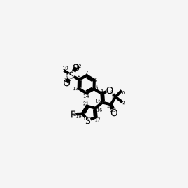 CC1(C)OC(c2ccc(S(C)(=O)=O)cc2)=C(c2csc(F)c2)C1=O